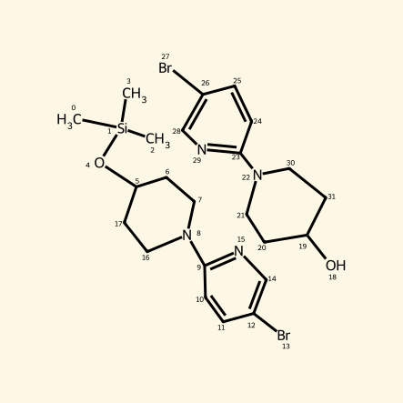 C[Si](C)(C)OC1CCN(c2ccc(Br)cn2)CC1.OC1CCN(c2ccc(Br)cn2)CC1